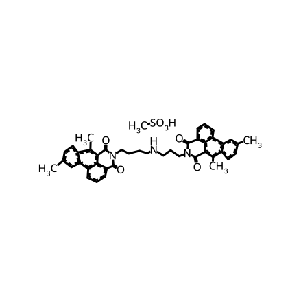 CS(=O)(=O)O.Cc1ccc2c(C)c3c4c(cccc4c2c1)C(=O)N(CCCCNCCCN1C(=O)c2cccc4c2c(c(C)c2ccc(C)cc24)C1=O)C3=O